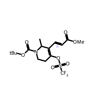 COC(=O)/C=C/C1=C(OS(=O)(=O)C(F)(F)F)CCN(C(=O)OC(C)(C)C)C1C